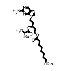 CCCCCCCCCCCCCCCCCC(=O)OCCC(CCn1cnc2cnc(N)nc21)OC(=O)[C@@H](N)C(C)CC